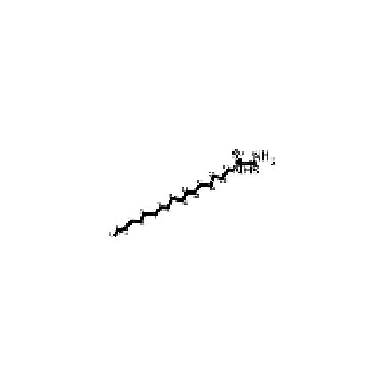 CCCCCCCCCCCCCCCCCCNC(=S)C(N)=S